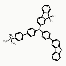 CC1(C)c2ccccc2-c2ccc(N(c3ccc(-c4ccc([Si](C)(C)C)cc4)cc3)c3ccc(-c4ccc5sc6ccccc6c5c4)cc3)cc21